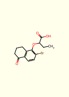 CCC(Oc1c(Br)ccc2c1CCCC2=O)C(=O)O